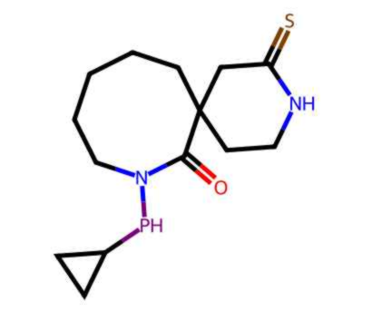 O=C1N(PC2CC2)CCCCCC12CCNC(=S)C2